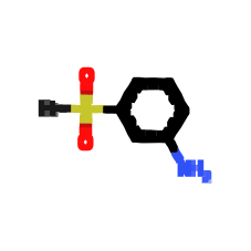 CCS(=O)(=O)c1cccc(N)c1